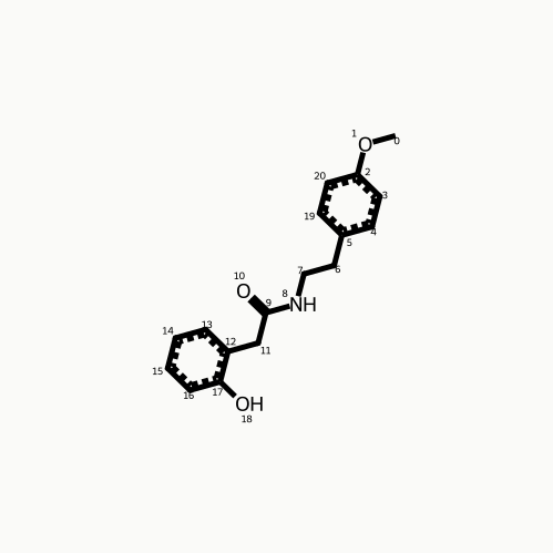 COc1ccc(CCNC(=O)Cc2ccccc2O)cc1